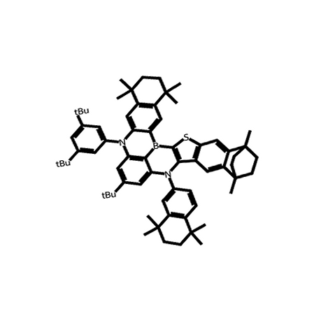 CC(C)(C)c1cc(N2c3cc4c(cc3B3c5sc6cc7c(cc6c5N(c5ccc6c(c5)C(C)(C)CCC6(C)C)c5cc(C(C)(C)C)cc2c53)C2(C)CCC7(C)CC2)C(C)(C)CCC4(C)C)cc(C(C)(C)C)c1